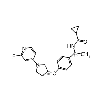 C[C@H](NC(=O)C1CC1)c1ccc(O[C@@H]2CCN(c3ccnc(F)c3)C2)cc1